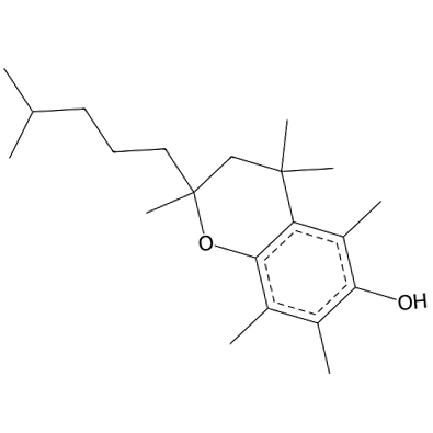 Cc1c(C)c2c(c(C)c1O)C(C)(C)CC(C)(CCCC(C)C)O2